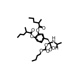 CCCCOC(=O)O[C@](Cc1ccc(OC(=O)C(C)CCC)c(OC(=O)C(C)CCC)c1)(NC(C)C)C(=O)O